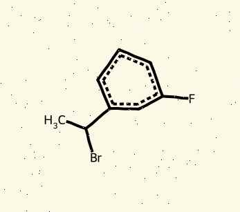 CC(Br)c1cccc(F)c1